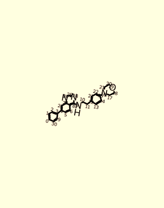 c1ccc(-c2ccc3c(NCCc4ccc(N5CCOCC5)cc4)ncnc3c2)cc1